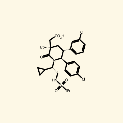 CC[C@]1(CC(=O)O)C[C@H](c2cccc(Cl)c2)[C@@H](c2ccc(Cl)cc2)N([C@H](CNS(=O)(=O)C(C)C)C2CC2)C1=O